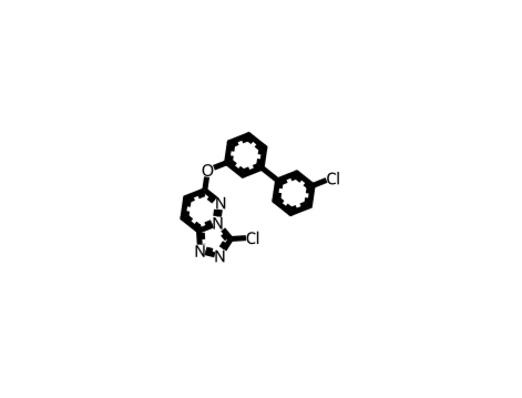 Clc1cccc(-c2cccc(Oc3ccc4nnc(Cl)n4n3)c2)c1